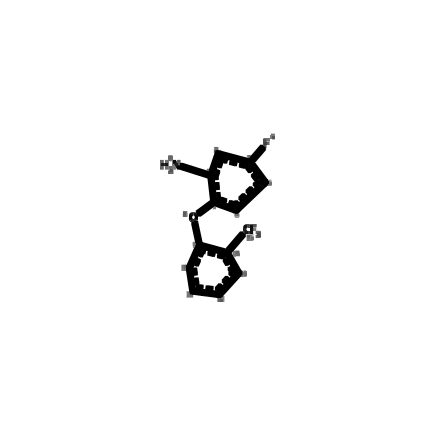 Nc1cc(F)ccc1Oc1ccccc1C(F)(F)F